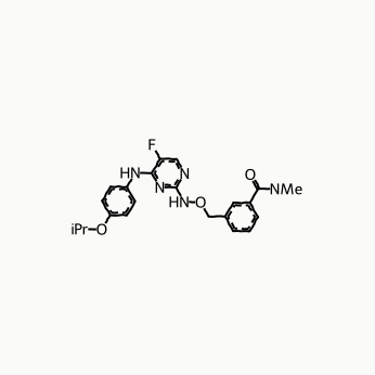 CNC(=O)c1cccc(CONc2ncc(F)c(Nc3ccc(OC(C)C)cc3)n2)c1